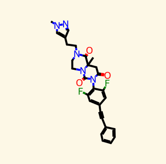 Cn1cc(CCN2CCN3C(=O)N(c4c(F)cc(C#Cc5ccccc5)cc4F)C(=O)CC3(C)C2=O)cn1